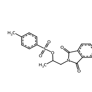 Cc1ccc(S(=O)(=O)OC(C)CN2C(=O)c3ccccc3C2=O)cc1